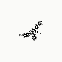 Cn1c(-c2ccc(N3CCOCC3)cc2)cnc1C(Cc1ccccn1)NC(=O)c1cc2cc(Br)ccc2o1